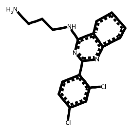 NCCCNc1nc(-c2ccc(Cl)cc2Cl)nc2ccccc12